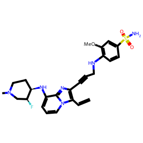 C=Cc1c(C#CCNc2ccc(S(N)(=O)=O)cc2OC)nc2c(N[C@@H]3CCN(C)C[C@@H]3F)cccn12